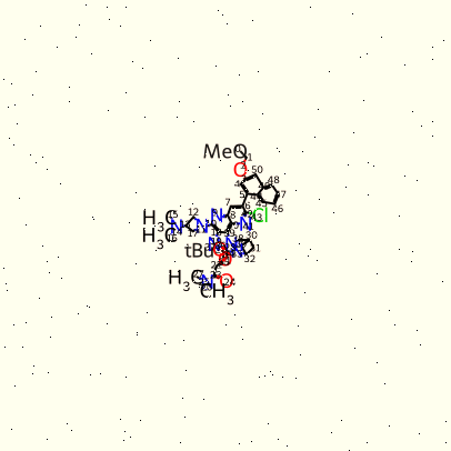 COCOc1cc(-c2cc3nc(N4CC(N(C)C)C4)c4nc(CCC(=O)N(C)C)n(C5C6CC5N(C(=O)OC(C)(C)C)C6)c4c3nc2Cl)c2ccccc2c1